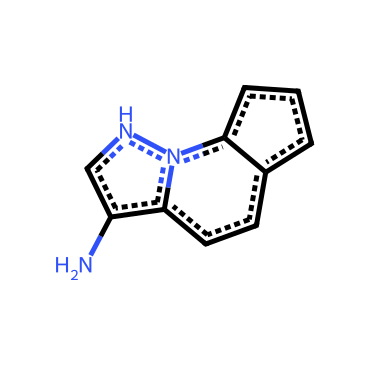 Nc1c[nH]n2c3cccc-3ccc12